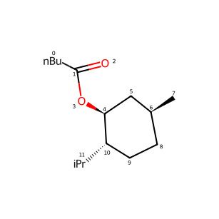 CCCCC(=O)O[C@H]1C[C@@H](C)CC[C@@H]1C(C)C